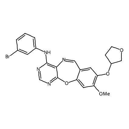 COc1cc2c(cc1OC1CCOC1)C=Nc1c(Nc3cccc(Br)c3)ncnc1O2